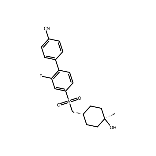 C[C@]1(O)CC[C@H](CS(=O)(=O)c2ccc(-c3ccc(C#N)cc3)c(F)c2)CC1